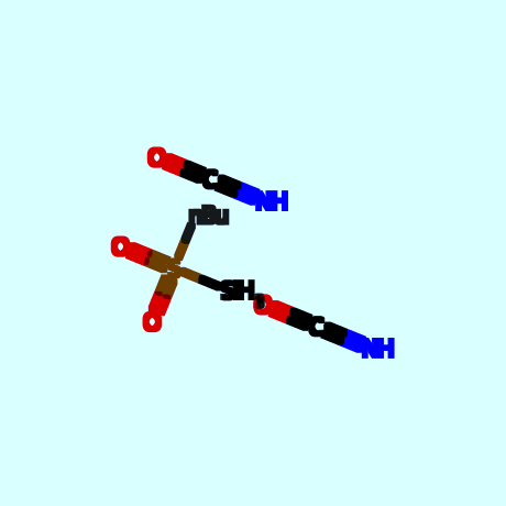 CCCCS(=O)(=O)[SiH3].N=C=O.N=C=O